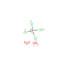 O.O.[Cl][Cr]([Cl])([Cl])[Cl]